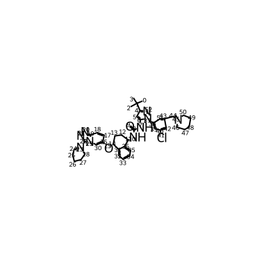 CC(C)(C)c1cc(NC(=O)N[C@H]2CC[C@@H](Oc3ccc4nnc(N5CCCCC5)n4c3)c3ccccc32)n(-c2cc(Cl)cc(CN3CCCCC3)c2)n1